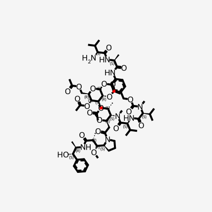 CC[C@H](C)[C@@H]([C@@H](CC(=O)N1CCC[C@H]1[C@H](OC)[C@@H](C)C(=O)N[C@H](C)[C@@H](O)c1ccccc1)OC)N(C)C(=O)[C@@H](NC(=O)[C@H](C(C)C)N(C)C(=O)OCc1ccc(NC(=O)[C@H](C)NC(=O)[C@@H](N)C(C)C)c(O[C@@H]2O[C@H](COC(C)=O)[C@H](OC(C)=O)[C@H](OC(C)=O)[C@H]2OC(C)=O)c1)C(C)C